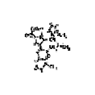 C=CCOC(=O)N(Cc1cccc(C)c1)[C@H]1C[C@@H](C(=O)OC)N(Cc2ccc(C)n2C)C1